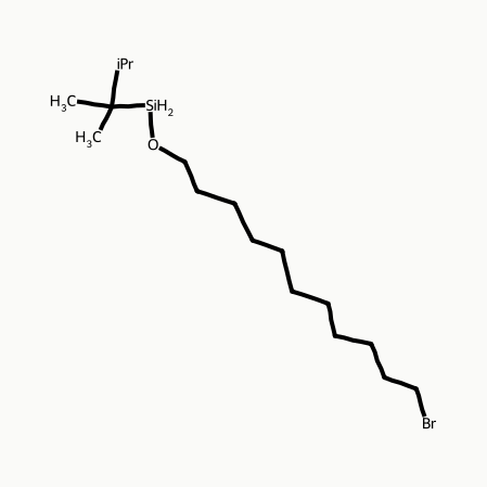 CC(C)C(C)(C)[SiH2]OCCCCCCCCCCCBr